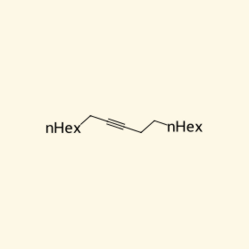 [CH2]CCCCCCC#CCCCCCCCC